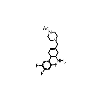 CC(=O)N1CCN(CC2=CCC(c3cc(F)c(F)cc3F)C(N)C2)CC1